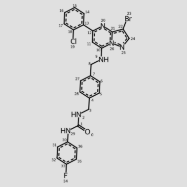 O=C(NCc1ccc(CNc2cc(-c3ccccc3Cl)nc3c(Br)cnn23)cc1)Nc1ccc(F)cc1